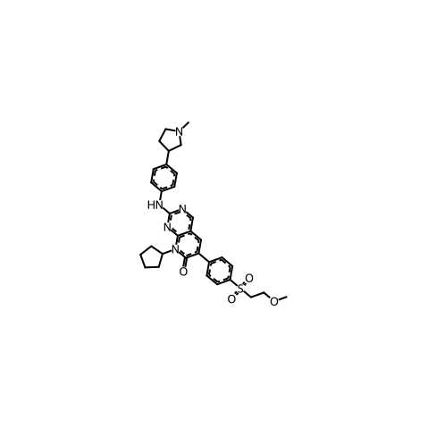 COCCS(=O)(=O)c1ccc(-c2cc3cnc(Nc4ccc(C5CCN(C)C5)cc4)nc3n(C3CCCC3)c2=O)cc1